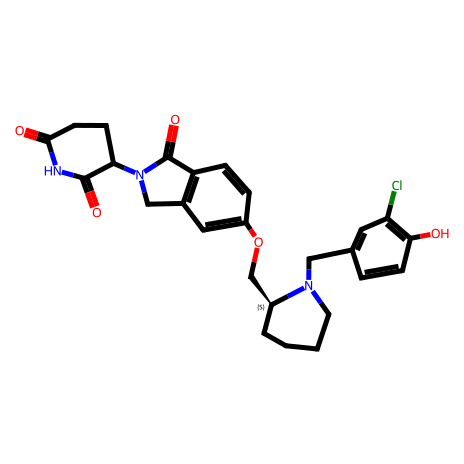 O=C1CCC(N2Cc3cc(OC[C@@H]4CCCCN4Cc4ccc(O)c(Cl)c4)ccc3C2=O)C(=O)N1